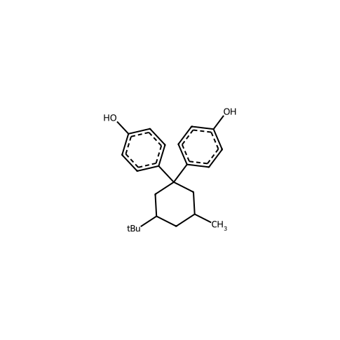 CC1CC(C(C)(C)C)CC(c2ccc(O)cc2)(c2ccc(O)cc2)C1